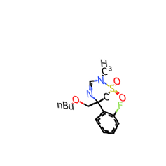 CCCCOCC1(c2ccccc2F)CS(=O)(=O)N(C)C=N1